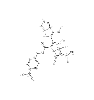 CSc1c(C2=C(C(=O)OCc3ccc([N+](=O)[O-])cc3)N3C(=O)[C@H]([C@@H](C)O)[C@H]3[C@H]2C)sc2cncn12